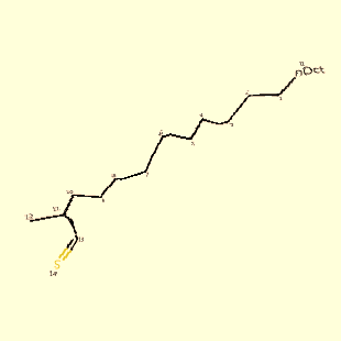 CCCCCCCCCCCCCCCCCCC(C)[C]=S